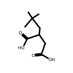 CC(C)(C)CC(CC(=O)O)C(=O)O